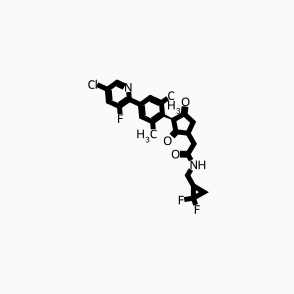 Cc1cc(-c2ncc(Cl)cc2F)cc(C)c1[C@H]1C(=O)CC(CC(=O)NCC2CC2(F)F)C1=O